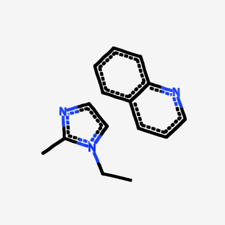 CCn1ccnc1C.c1ccc2ncccc2c1